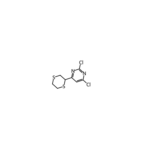 Clc1cc(C2CSCCS2)nc(Cl)n1